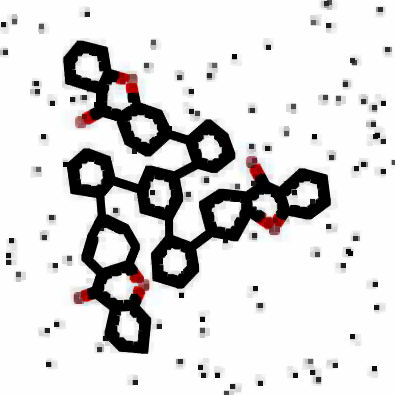 O=c1c2c(oc3ccccc13)CC=C(c1ccccc1-c1cc(-c3ccccc3-c3ccc4c(=O)c5ccccc5oc4c3)cc(-c3ccccc3-c3ccc4c(=O)c5ccccc5oc4c3)c1)C=C2